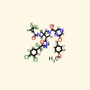 COc1ccc(COc2cncc(C(=O)N3CC(c4nnc(C(F)(F)c5ccc(Cl)c(Cl)c5)o4)C4(C3)CN(C(=O)[C@H]3CC3(F)F)C4)n2)cc1